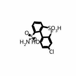 NS(=O)(=O)c1cccc(S(=O)(=O)O)c1-c1c(O)cc(Cl)cc1F